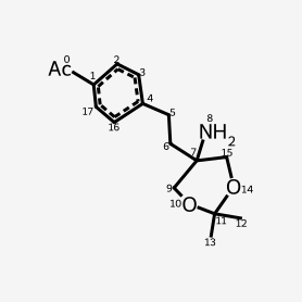 CC(=O)c1ccc(CCC2(N)COC(C)(C)OC2)cc1